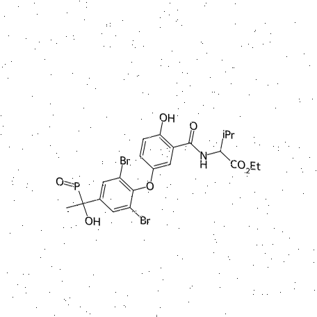 CCOC(=O)C(NC(=O)c1cc(Oc2c(Br)cc(C(C)(O)P=O)cc2Br)ccc1O)C(C)C